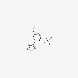 CCc1cc(OC(F)(F)F)cc(-c2nc[nH]n2)c1